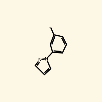 [CH2]c1cccc(-n2cccn2)c1